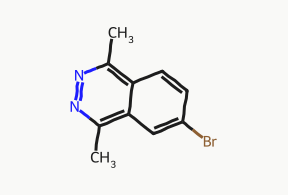 Cc1nnc(C)c2cc(Br)ccc12